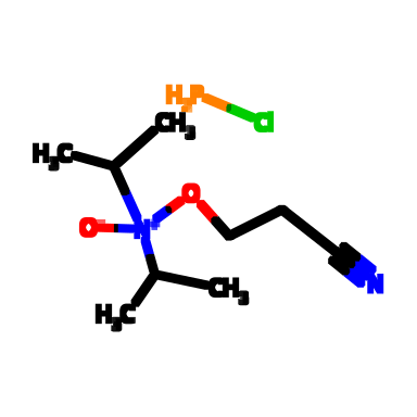 CC(C)[N+]([O-])(OCCC#N)C(C)C.PCl